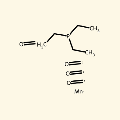 CCP(CC)CC.[C]=O.[C]=O.[C]=O.[C]=O.[Mn]